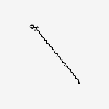 C#CCCCCCCCCCOCCOCCOCCOCCCCCCCCCCCCNC(=O)c1ccsc1